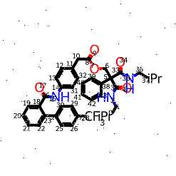 CC(C)CNC(=O)C(COC(=O)Cc1ccc(NC(=O)c2ccccc2-c2ccc(C(F)(F)F)cc2)cc1)(C(=O)NCC(C)C)c1ccccc1